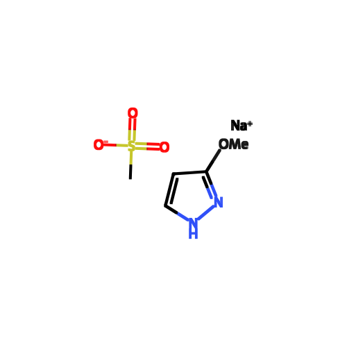 COc1cc[nH]n1.CS(=O)(=O)[O-].[Na+]